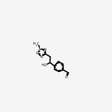 Cn1nnc(CC(O)c2ccc(C=O)cc2)n1